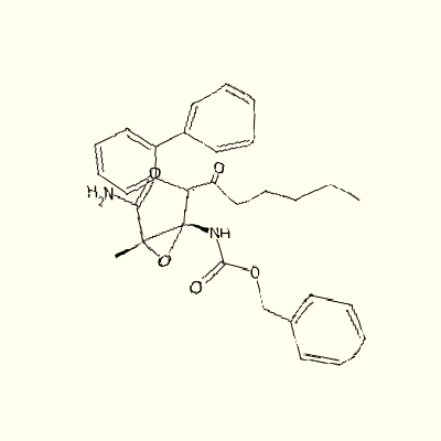 CCCCCC(=O)[C](c1ccccc1-c1ccccc1)[C@]1(NC(=O)OCc2ccccc2)O[C@]1(C)C(N)=O